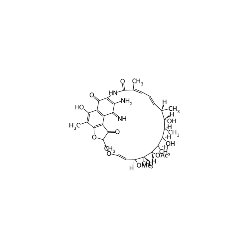 CO[C@H]1/C=C/O[C@@]2(C)Oc3c(C)c(O)c4c(c3C2=O)C(=N)C(N)=C(NC(=O)/C(C)=C\C=C\[C@H](C)[C@H](O)[C@@H](C)[C@@H](O)[C@@H](C)[C@H](OC(C)=O)[C@@H]1C)C4=O